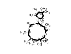 CC[C@H]1OC(=O)[C@H](C)[C@@H](O[C@H]2C[C@@](C)(OC)[C@@H](O)[C@H](C)O2)[C@H](C)C[C@H](O)C[C@@H](C)CN(C)[C@H](C)[C@@H](O)[C@]1(C)O